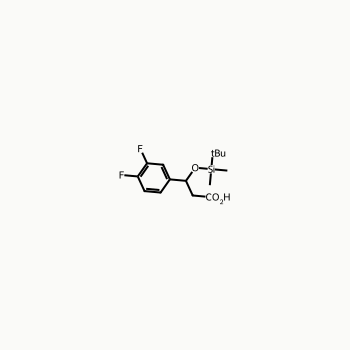 CC(C)(C)[Si](C)(C)OC(CC(=O)O)c1ccc(F)c(F)c1